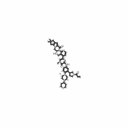 C=CC(=O)N1CCC(c2cc(Nc3nc(-c4ccnc(N5CCn6c(cc7c6CC(C)(C)C7)C5=O)c4CO)cn(C)c3=O)ccc2N2CCN(C3CCOCC3)C[C@@H]2C)C1